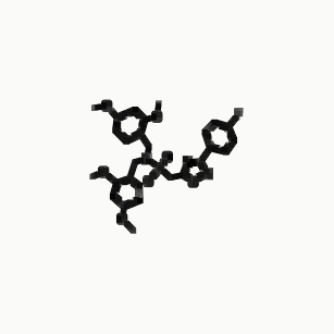 COc1ccc(CN(Cc2ccc(OC)cc2OC)S(=O)(=O)Cc2nc(-c3ccc(F)cc3)no2)c(OC)c1